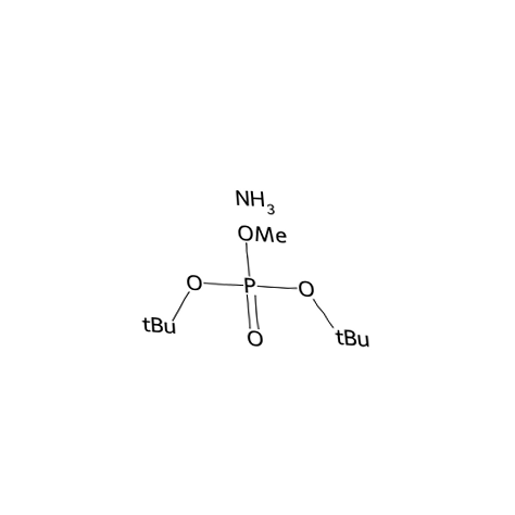 COP(=O)(OC(C)(C)C)OC(C)(C)C.N